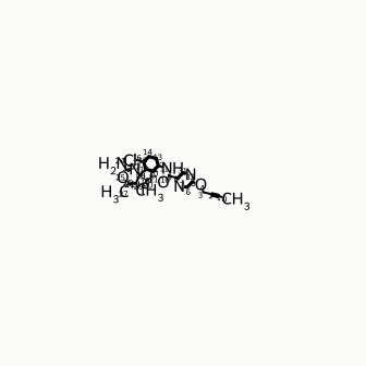 CC#CCOc1cnc(C(=O)Nc2ccc(Cl)c([C@]3(C(F)F)N=C(N)O[C@@H](C)[C@H]3C)c2)cn1